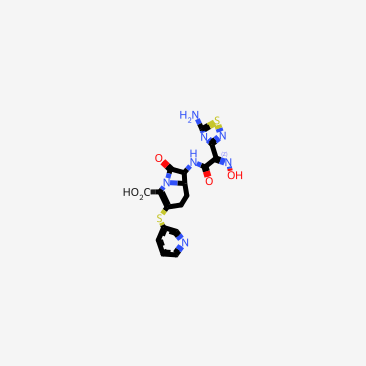 Nc1nc(/C(=N/O)C(=O)NC2C(=O)N3C(C(=O)O)=C(Sc4cccnc4)CCC23)ns1